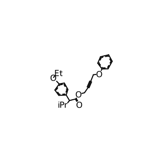 CCOc1ccc(C(C(=O)OCC#CCOc2ccccc2)C(C)C)cc1